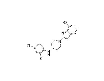 [O]c1cccc2sc(N3CCC(Nc4ccc(Cl)cc4Cl)CC3)nc12